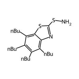 CCCCc1c(CCCC)c(CCCC)c2sc(SN)nc2c1CCCC